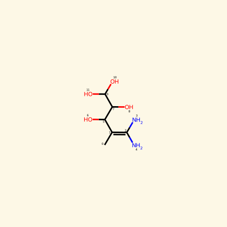 CC(=C(N)N)C(O)C(O)C(O)O